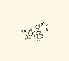 C[C@H](Oc1nc(N2CCCC3(CN(C(=O)[C@@H]4C[C@H]4C#N)C3)C2)c2cc(Cl)c(-c3ccc(F)c4sc(N)c(C#N)c34)c(F)c2n1)[C@@H]1CCCN1C